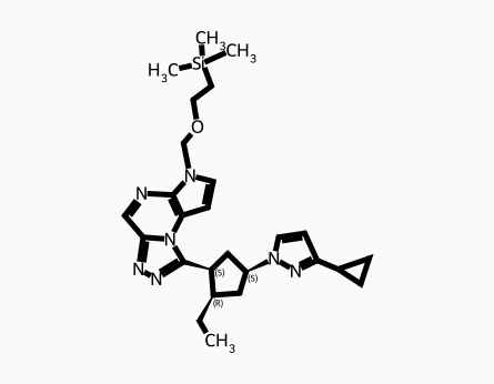 CC[C@@H]1C[C@H](n2ccc(C3CC3)n2)C[C@@H]1c1nnc2cnc3c(ccn3COCC[Si](C)(C)C)n12